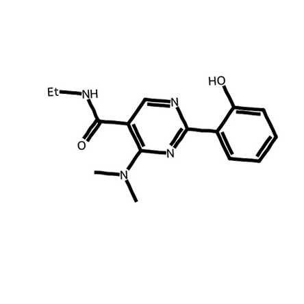 CCNC(=O)c1cnc(-c2ccccc2O)nc1N(C)C